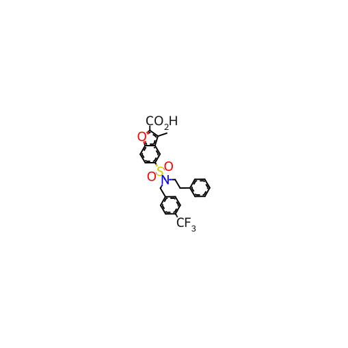 Cc1c(C(=O)O)oc2ccc(S(=O)(=O)N(CCc3ccccc3)Cc3ccc(C(F)(F)F)cc3)cc12